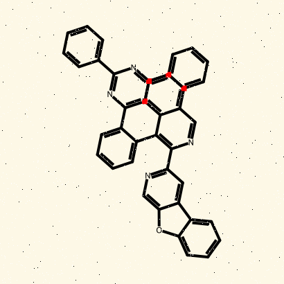 c1ccc(-c2nc(-c3ccccc3)nc(-c3ccccc3-c3c(-c4cc5c(cn4)oc4ccccc45)ncc4ccccc34)n2)cc1